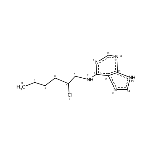 CCCCC(Cl)CNc1ncnc2[nH]cnc12